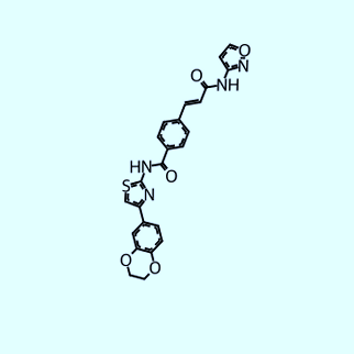 O=C(/C=C/c1ccc(C(=O)Nc2nc(-c3ccc4c(c3)OCCO4)cs2)cc1)Nc1ccon1